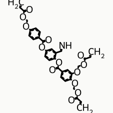 C=CC(=O)OCOc1ccc(C(=O)Oc2ccc(OC(=O)c3ccc(OCOC(=O)C=C)c(OCOC(=O)C=C)c3)c(C=N)c2)cc1